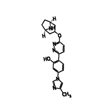 Cc1cn(-c2ccc(-c3ccc(OC4C[C@H]5CC[C@@H](C4)N5)nn3)c(O)c2)cn1